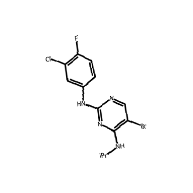 CC(C)Nc1nc(Nc2ccc(F)c(Cl)c2)ncc1Br